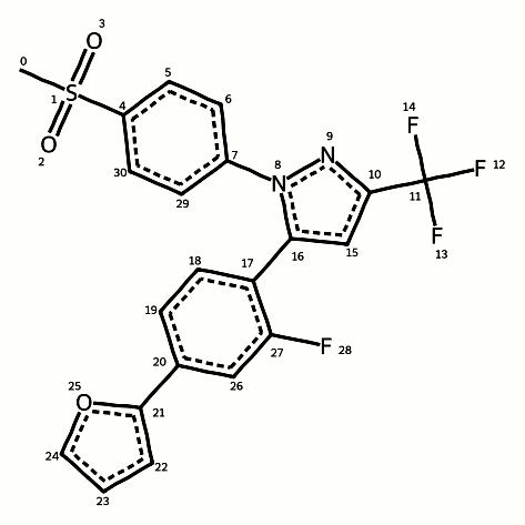 CS(=O)(=O)c1ccc(-n2nc(C(F)(F)F)cc2-c2ccc(-c3ccco3)cc2F)cc1